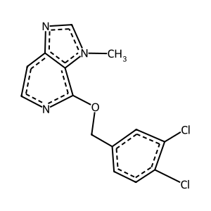 Cn1cnc2ccnc(OCc3ccc(Cl)c(Cl)c3)c21